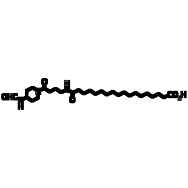 O=CNC1CCN(C(=O)CCCNC(=O)CCCCCCCCCCCCCCCCC(=O)O)CC1